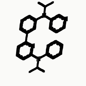 CC(C)N(c1cccnc1)c1cccc(-c2cccc(N(c3ccccc3)C(C)C)n2)c1